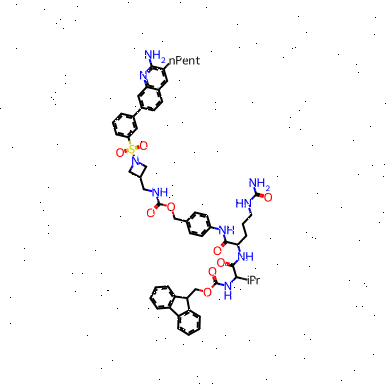 CCCCCc1cc2ccc(-c3cccc(S(=O)(=O)N4CC(CNC(=O)OCc5ccc(NC(=O)C(CCCNC(N)=O)NC(=O)C(NC(=O)OCC6c7ccccc7-c7ccccc76)C(C)C)cc5)C4)c3)cc2nc1N